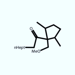 CCCCCCCCC(=O)C1(COC)C(C)CCC1C